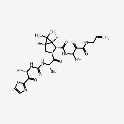 C=CCNC(=O)C(=O)C(CCC)NC(=O)[C@@H]1[C@@H]2[C@H](CN1C(=O)[C@@H](NC(=O)N[C@H](C(=O)c1nccs1)C(C)C)C(C)(C)C)C2(C)C